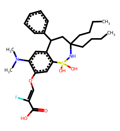 CCCCC1(CCCC)CC(c2ccccc2)c2cc(N(C)C)c(O/C=C(\F)C(=O)O)cc2S(O)(O)N1